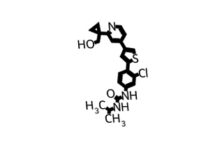 CC(C)NC(=O)Nc1ccc(-c2cc(-c3ccnc(C4(CO)CC4)c3)cs2)c(Cl)c1